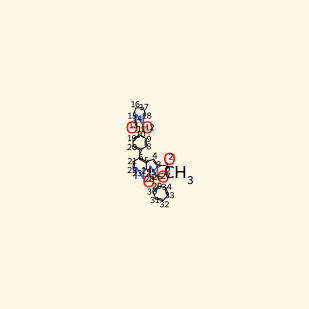 CC(=O)c1cc2c(-c3ccc(S(=O)(=O)N4CCCC4)cc3)ccnc2n1S(=O)(=O)c1ccccc1